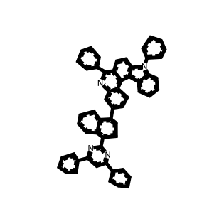 c1ccc(-c2cc(-c3ccccc3)nc(-c3ccc(-c4ccc5c(c4)nc(-c4ccccc4)c4ccc6c(c7ccccc7n6-c6ccccc6)c45)c4ccccc34)n2)cc1